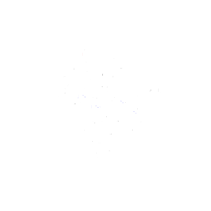 CCCCn1c(=O)c(NC(=O)Nc2cc(C(O)C3CCCCO3)ccc2C(C)(C)C)c(-c2cccc(OC)c2)c2cccnc21